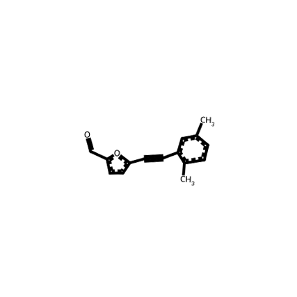 Cc1ccc(C)c(C#Cc2ccc(C=O)o2)c1